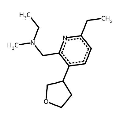 CCc1ccc(C2CCOC2)c(CN(C)CC)n1